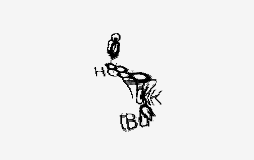 CC(C)(C)N1CCC(NC(=O)O[C@H]2CC[C@]3(C)C4CC[C@]5(C)[C@@H](c6ccc(=O)oc6)CC[C@]5(O)C4CC[C@@H]3C2)CC1